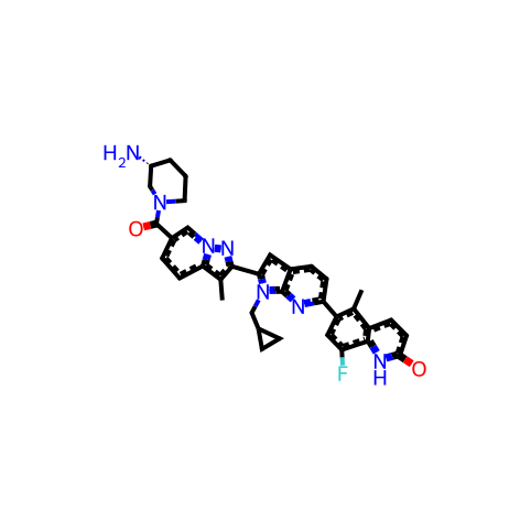 Cc1c(-c2ccc3cc(-c4nn5cc(C(=O)N6CCC[C@@H](N)C6)ccc5c4C)n(CC4CC4)c3n2)cc(F)c2[nH]c(=O)ccc12